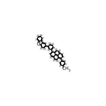 Cc1ccc(-c2ccc3ccc4c(-c5cccc(-c6ccc7oc8ccccc8c7c6)c5)ccc5ccc2c3c54)cc1